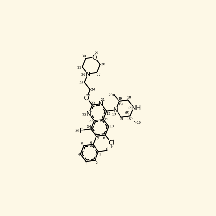 Cc1ccccc1-c1c(Cl)cc2c(N3C[C@@H](C)NC[C@@H]3C)nc(OCCN3CCOCC3)nc2c1F